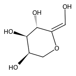 O/C=C1/OC[C@@H](O)[C@@H](O)[C@@H]1O